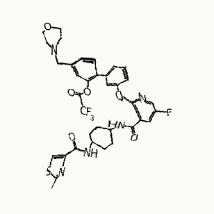 Cc1nc(C(=O)NC2CCC(NC(=O)c3cc(F)cnc3Oc3cccc(-c4ccc(CN5CCOCC5)cc4OC(=O)C(F)(F)F)c3)CC2)cs1